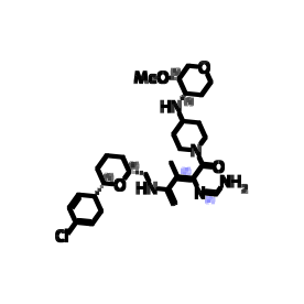 C=C(NC[C@H]1CCC[C@@H](C2C=CC(Cl)=CC2)O1)/C(C)=C(\N=C/N)C(=O)N1CCC(N[C@H]2CCOC[C@H]2OC)CC1